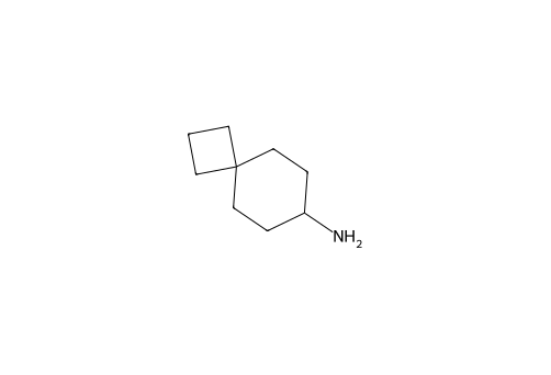 NC1CCC2(CCC2)CC1